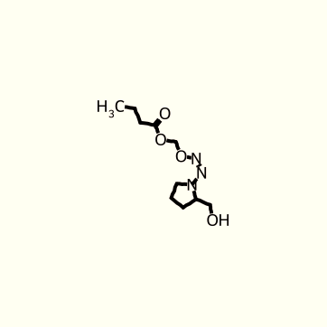 CCCC(=O)OCO/N=N\N1CCCC1CO